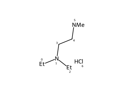 CCN(CC)CCNC.Cl